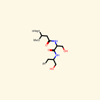 CCCCCCCC(CC(=O)NC(CO)C(=O)NC(CO)CC(C)C)OC